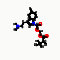 Cc1ccc2c(c1)c(CCN(C)C)cn2C(=O)OCOC(=O)C(C)C(C)(C)C